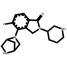 O=C1c2ccc(F)c(N3CC4CC3CN4)c2CN1C1CCCNC1